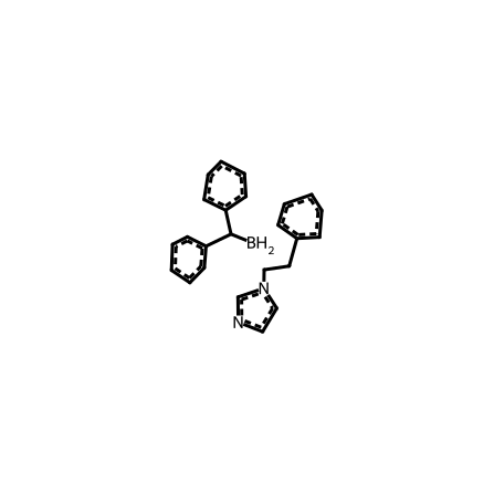 BC(c1ccccc1)c1ccccc1.c1ccc(CCn2ccnc2)cc1